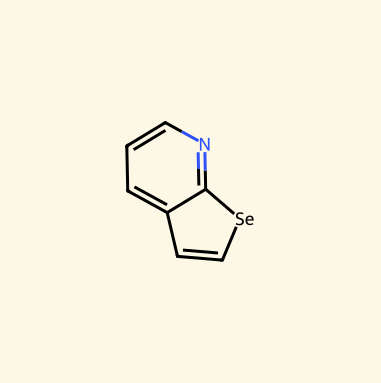 c1cnc2[se]ccc2c1